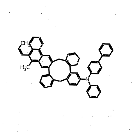 C/C=C\c1c(C)c2cc3c(cc2c2ccccc12)CC1=C(CCC=C1)c1cc(N(c2ccccc2)c2ccc(-c4ccccc4)cc2)ccc1Cc1ccccc1-3